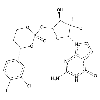 C[C@@]1(O)[C@H](O)C(OP2(=O)OCC[C@@H](c3ccc(F)c(Cl)c3)O2)O[C@H]1n1ccc2c(=O)[nH]c(N)nc21